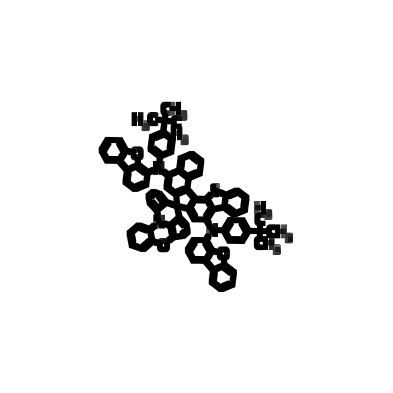 CC(C)(C)c1ccc(N(c2cc3c(c4ccccc24)-c2c(cc(N(c4ccc(C(C)(C)C)cc4)c4cccc5c4oc4ccccc45)c4c2sc2ccccc24)C32c3ccccc3N3c4ccccc4Oc4cccc2c43)c2cccc3c2oc2ccccc23)cc1